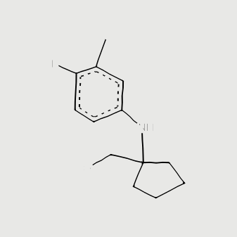 Cc1cc(NC2(CO)CCCC2)ccc1F